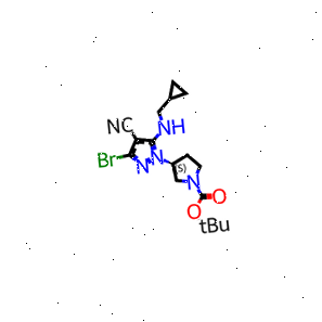 CC(C)(C)OC(=O)N1CC[C@H](n2nc(Br)c(C#N)c2NCC2CC2)C1